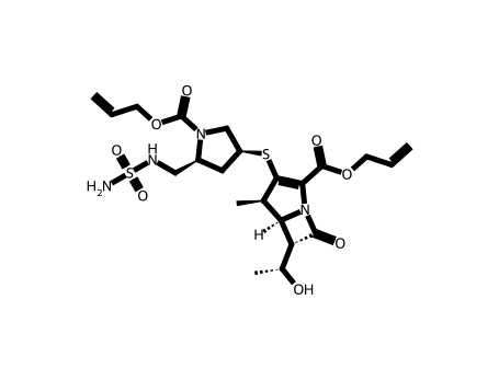 C=CCOC(=O)C1=C(S[C@H]2C[C@@H](CNS(N)(=O)=O)N(C(=O)OCC=C)C2)[C@H](C)[C@@H]2[C@@H]([C@@H](C)O)C(=O)N12